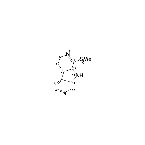 CSC1=NCCC2c3ccccc3NC12